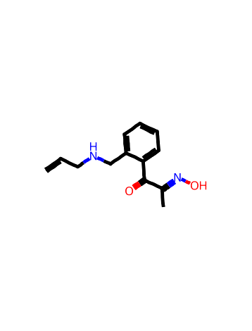 C=CCNCc1ccccc1C(=O)C(C)=NO